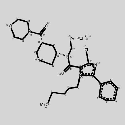 COCCCCn1c(-c2ccccc2)nc(Cl)c1C(=O)N(CC(C)C)[C@@H]1CNC[C@H](C(=O)N2CCOCC2)C1.Cl.Cl